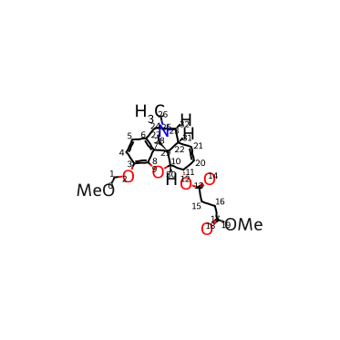 COCOc1ccc2c3c1O[C@H]1[C@@H](OC(=O)CCC(=O)OC)C=C[C@H]4[C@@H](C2)N(C)CC[C@@]341